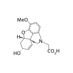 COc1ccc2c3c1O[C@H]1C[C@@H](O)C=C[C@@]31CCN(CC(=O)O)C2